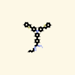 C=C/C=C\CN/C=C(\N)c1ccc(-c2ccc(N(c3ccc(-c4cc5ccccc5s4)cc3)c3ccc(-c4cc5ccccc5s4)cc3)cc2)cc1